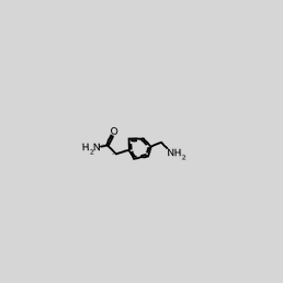 NCc1ccc([CH]C(N)=O)cc1